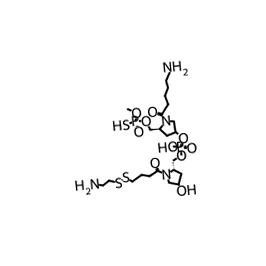 COP(=O)(S)OC[C@@H]1CC(OP(=O)(O)OC[C@@H]2C[C@@H](O)CN2C(=O)CCCSSCCN)CN1C(=O)CCCCCN